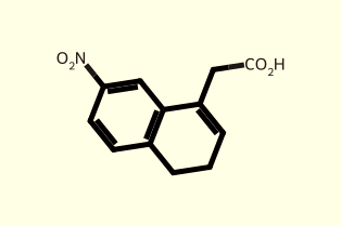 O=C(O)CC1=CCCc2ccc([N+](=O)[O-])cc21